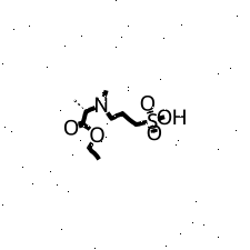 CCOC(=O)[C@H](C)N(C)CCCS(=O)(=O)O